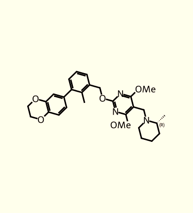 COc1nc(OCc2cccc(-c3ccc4c(c3)OCCO4)c2C)nc(OC)c1CN1CCCC[C@H]1C